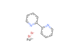 [Br-].[Br-].[Pd+2].c1ccc(-c2ccccn2)nc1